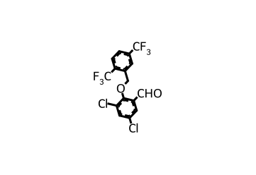 O=Cc1cc(Cl)cc(Cl)c1OCc1cc(C(F)(F)F)ccc1C(F)(F)F